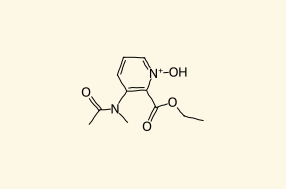 CCOC(=O)c1c(N(C)C(C)=O)ccc[n+]1O